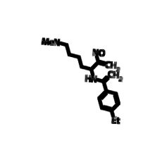 C=C(NC(CCCCNC)C(=C)N=O)c1ccc(CC)cc1